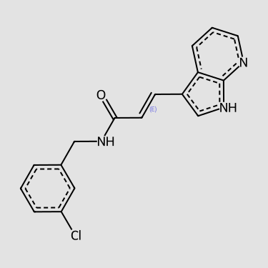 O=C(/C=C/c1c[nH]c2ncccc12)NCc1cccc(Cl)c1